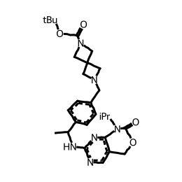 CC(Nc1ncc2c(n1)N(C(C)C)C(=O)OC2)c1ccc(CN2CC3(C2)CN(C(=O)OC(C)(C)C)C3)cc1